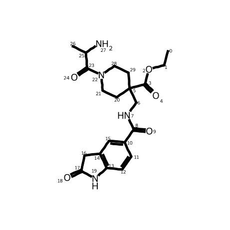 CCOC(=O)C1(CNC(=O)c2ccc3c(c2)CC(=O)N3)CCN(C(=O)C(C)N)CC1